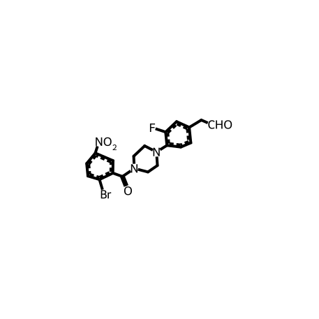 O=CCc1ccc(N2CCN(C(=O)c3cc([N+](=O)[O-])ccc3Br)CC2)c(F)c1